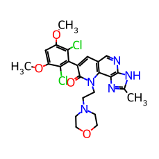 COc1cc(OC)c(Cl)c(-c2cc3cnc4[nH]c(C)nc4c3n(CCN3CCOCC3)c2=O)c1Cl